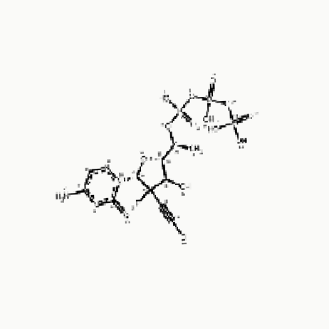 C[C@H](OP(=O)(O)OP(=O)(O)OP(=O)(O)O)[C@H]1O[C@@H](n2ncc(N)nc2=O)C(F)(C#CCl)C1O